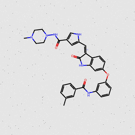 Cc1cccc(C(=O)Nc2cccc(Oc3ccc4c(c3)NC(=O)/C4=C\c3cc(C(=O)NN4CCN(C)CC4)c[nH]3)c2)c1